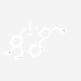 N=C(c1ccnc(N2CC[C@H](CO)C2)c1)c1cc(OC(F)(F)F)ccc1N